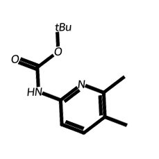 Cc1ccc(NC(=O)OC(C)(C)C)nc1C